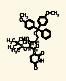 COc1ccc(C(OC[C@H]2O[C@@H](n3ccc(=O)[nH]c3=O)[C@@H](O[Si](C)(C)C(C)(C)C)[C@@H]2O)(c2ccccc2)c2ccc(OC)cc2)cc1